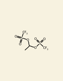 CC(OS(=O)(=O)C(F)(F)F)OS(=O)(=O)C(F)(F)F